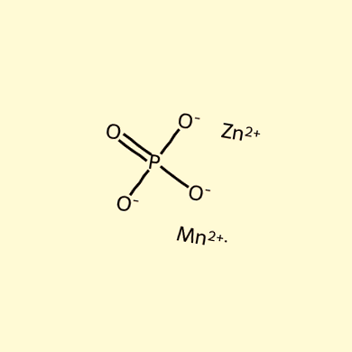 O=P([O-])([O-])[O-].[Mn+2].[Zn+2]